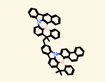 CC1(C)c2ccccc2B2c3c(ccc4c3ccc3ccccc34)-n3c4cc(CC5(C)c6ccccc6B6c7c(cccc75)-n5c7ccccc7c7cc8ccccc8c6c75)ccc4c4ccc1c2c43